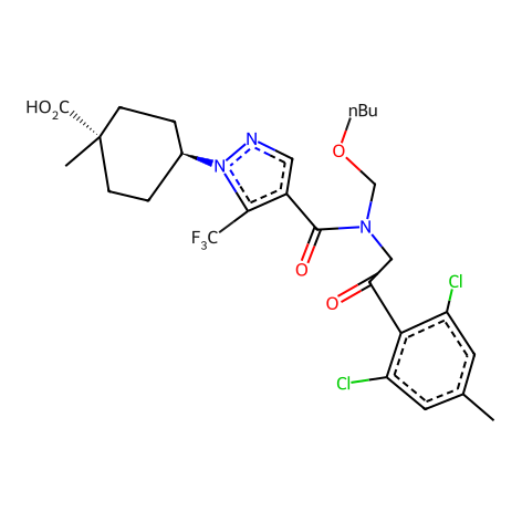 CCCCOCN(CC(=O)c1c(Cl)cc(C)cc1Cl)C(=O)c1cnn([C@H]2CC[C@](C)(C(=O)O)CC2)c1C(F)(F)F